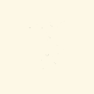 CC(C)c1cc(C2CC2c2nccc(C(C)C)n2)nc(C2CCC2)n1